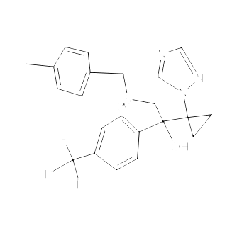 Cc1ccc(C[S+]([O-])CC(O)(c2ccc(C(F)(F)F)cc2)C2(n3cncn3)CC2)cc1